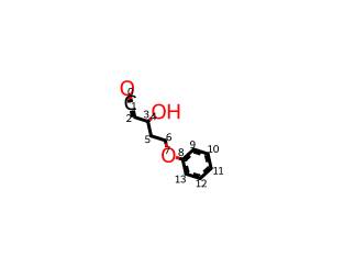 O=C=CC(O)CCOc1ccccc1